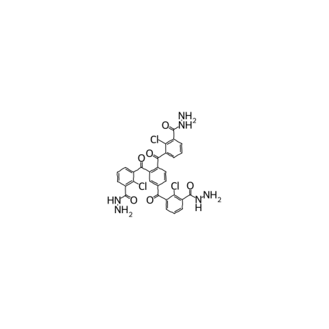 NNC(=O)c1cccc(C(=O)c2ccc(C(=O)c3cccc(C(=O)NN)c3Cl)c(C(=O)c3cccc(C(=O)NN)c3Cl)c2)c1Cl